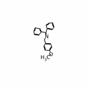 COc1ccc(CN=C(c2ccccc2)c2ccccc2)cc1